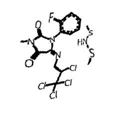 CN1C(=O)C(=NCC(Cl)C(Cl)(Cl)Cl)N(c2ccccc2F)C1=O.CSNSC